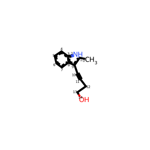 Cc1[nH]c2ccccc2c1C#CCCO